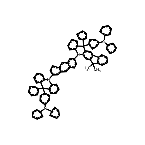 CC1(C)c2ccccc2-c2cc3c(cc21)N(c1ccc2cc4cc(N5c6ccccc6C(c6ccccc6)(c6ccc(N(c7ccccc7)c7ccccc7)cc6)c6ccccc65)ccc4cc2c1)c1ccccc1C3(c1ccccc1)c1ccc(N(c2ccccc2)c2ccccc2)cc1